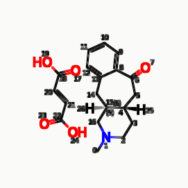 CN1CC[C@H]2CC(=O)c3ccccc3C[C@@H]2C1.O=C(O)C=CC(=O)O